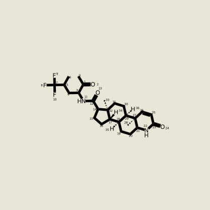 CC(=O)C(CC(C)C(F)(F)F)NC(=O)C1CC[C@H]2[C@@H]3CCC4NC(=O)C=C[C@]4(C)[C@@H]3CC[C@]12C